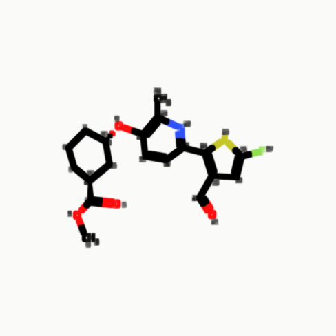 COC(=O)[C@H]1CCC[C@H](Oc2ccc(-c3sc(F)cc3C=O)nc2C)C1